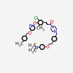 Cc1ccc(COc2ccc(Oc3c(C)cc(C=CC(=O)N4CCN(Cc5ccc(CCOc6ccc(N(C)C)cc6)cc5)CC4)cc3Cl)nc2)cc1